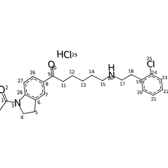 CC(=O)N1CCc2cc(C(=O)CCCCCNCCc3ccccc3Cl)ccc21.Cl